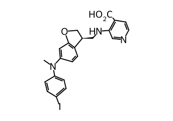 CN(c1ccc(I)cc1)c1ccc2c(c1)OC[C@H]2CNc1cnccc1C(=O)O